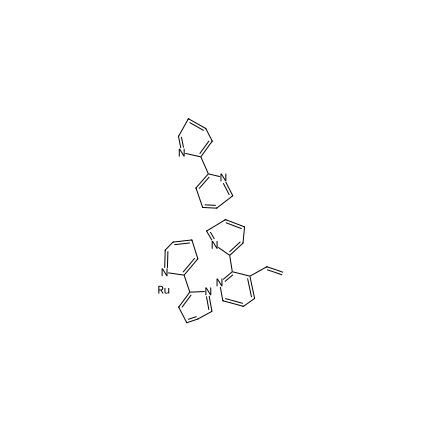 C=Cc1cccnc1-c1ccccn1.[Ru].c1ccc(-c2ccccn2)nc1.c1ccc(-c2ccccn2)nc1